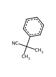 CC(C)(C#N)c1c[c]ccc1